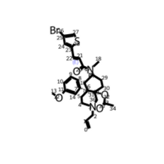 C=CCN1CC[C@@]2(c3cccc(OC)c3)C[C@@H](N(C)C(=O)/C=C/c3cc(Br)cs3)CC[C@]2(OC(C)=O)C1